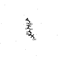 C=C(/C=C(/NC(=O)C(C)(C)S(=O)(=O)CC1CC1)OCCCC)C(C)(C)CO